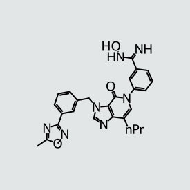 CCCc1cn(-c2cccc(C(=N)NO)c2)c(=O)c2c1ncn2Cc1cccc(-c2noc(C)n2)c1